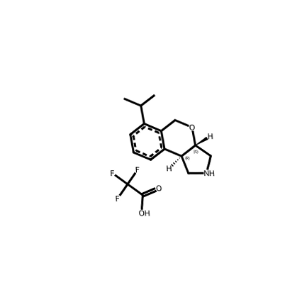 CC(C)c1cccc2c1CO[C@@H]1CNC[C@@H]21.O=C(O)C(F)(F)F